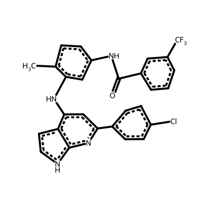 Cc1ccc(NC(=O)c2cccc(C(F)(F)F)c2)cc1Nc1cc(-c2ccc(Cl)cc2)nc2[nH]ccc12